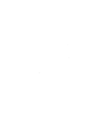 C=Cn1cc(N2C(=O)C=CC2=O)c2ccccc21